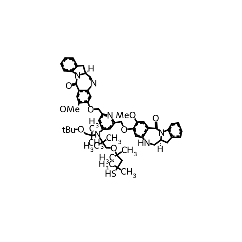 COc1cc2c(cc1OCc1cc(N(C(C)(C)COC(C)(C)C)C(C)(C)COC(C)(C)CC(C)(C)S)cc(COc3cc4c(cc3OC)C(=O)N3c5ccccc5C[C@H]3CN4)n1)N=C[C@@H]1Cc3ccccc3N1C2=O